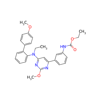 CCOC(=O)Nc1cccc(-c2cc(N(CC)c3ccccc3-c3ccc(OC)cc3)nc(OC)n2)c1